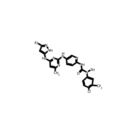 CCc1cc(Nc2cc(C)nc(Nc3ccc(NC(=O)N(S)c4ccc(Cl)c(C(F)(F)F)c4)nc3)n2)[nH]n1